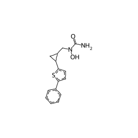 NC(=O)N(O)CC1CC1c1ccc(-c2ccccc2)s1